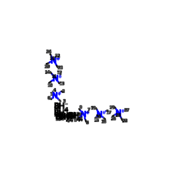 C[N+](C)(C)C.C[N+](C)(C)C.C[N+](C)(C)C.C[N+](C)(C)C.C[N+](C)(C)C.C[N+](C)(C)C.[BH4-].[BH4-].[BH4-].[BH4-].[BH4-].[BH4-]